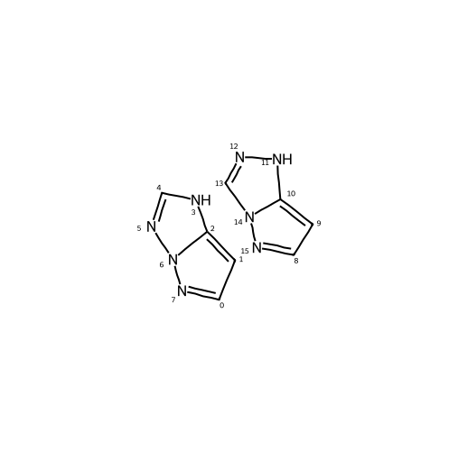 c1cc2[nH]cnn2n1.c1cc2[nH]ncn2n1